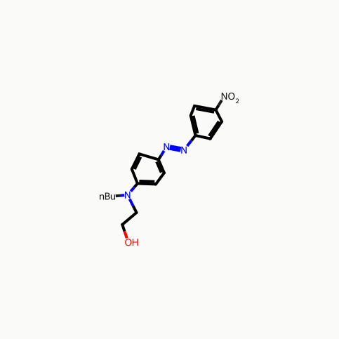 CCCCN(CCO)c1ccc(N=Nc2ccc([N+](=O)[O-])cc2)cc1